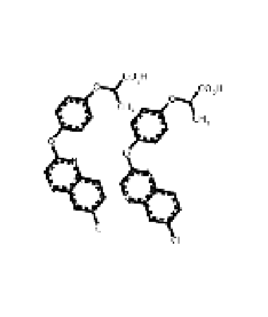 CC(Oc1ccc(Oc2cnc3cc(Cl)ccc3n2)cc1)C(=O)O.C[C@@H](Oc1ccc(Oc2cnc3cc(Cl)ccc3n2)cc1)C(=O)O